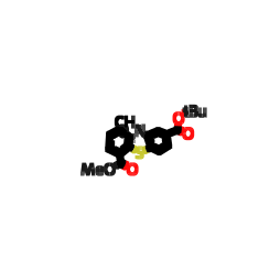 COC(=O)c1ccc(C)cc1Sc1ccc(C(=O)OC(C)(C)C)cc1[N+](=O)[O-]